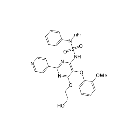 CCCN(c1ccccc1)S(=O)(=O)Nc1nc(-c2ccncc2)nc(OCCO)c1Oc1ccccc1OC